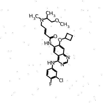 COCC(C)N(C)CC=CC(=O)Nc1cc2c(Nc3ccc(F)c(Cl)c3)ncnc2cc1OC1CCC1